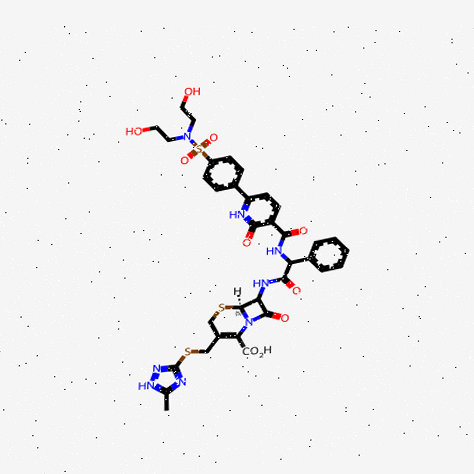 Cc1nc(SCC2=C(C(=O)O)N3C(=O)C(NC(=O)C(NC(=O)c4ccc(-c5ccc(S(=O)(=O)N(CCO)CCO)cc5)[nH]c4=O)c4ccccc4)[C@@H]3SC2)n[nH]1